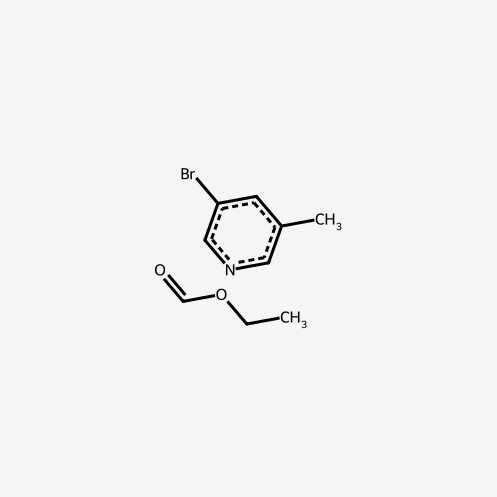 CCOC=O.Cc1cncc(Br)c1